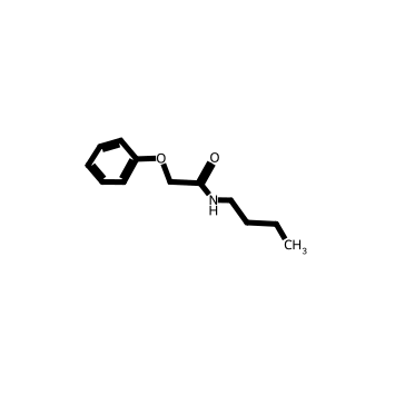 CCCCNC(=O)COc1ccccc1